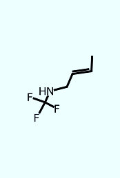 CC=CCNC(F)(F)F